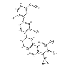 COc1cc(-c2cnc(C3CCc4ccc([C@H](C5CC5)[C@H](C)C(=O)O)cc4O3)c(C)n2)c(F)cn1